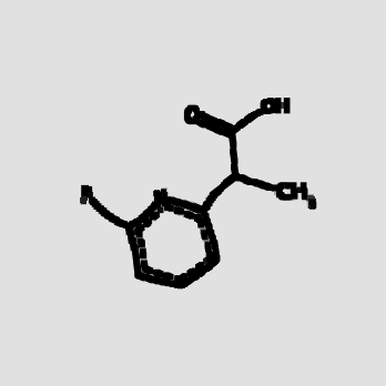 CC(C(=O)O)c1cccc(F)n1